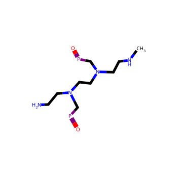 CNCCN(CCN(CCN)CP=O)CP=O